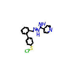 N=C(NN=Cc1ccccc1-c1ccc(SCl)cc1)c1ccncc1